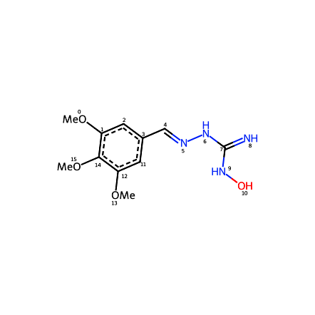 COc1cc(C=NNC(=N)NO)cc(OC)c1OC